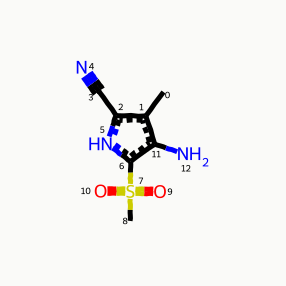 Cc1c(C#N)[nH]c(S(C)(=O)=O)c1N